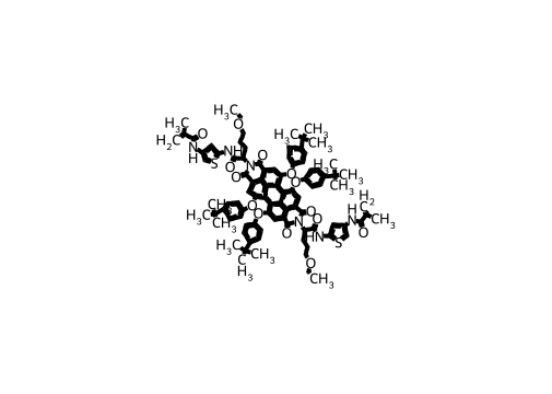 C=C(C)C(=O)Nc1csc(NC(=O)C(CCCOCC)N2C(=O)c3cc(Oc4ccc(C(C)(C)C)cc4)c4c5c(Oc6ccc(C(C)(C)C)cc6)cc6c7c(cc(Oc8ccc(C(C)(C)C)cc8)c(c8c(Oc9ccc(C(C)(C)C)cc9)cc(c3c48)C2=O)c75)C(=O)N(C(CCCOCC)C(=O)Nc2cc(NC(=O)C(=C)C)cs2)C6=O)c1